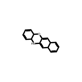 C1=CC2C=C3NC4C=CC=CC4OC3=CC2C=C1